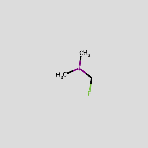 CI(C)CF